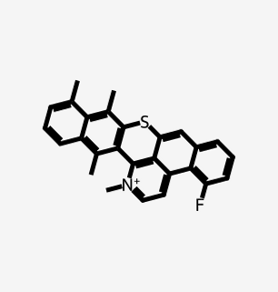 Cc1c2c(c(C)c3c(C)cccc13)Sc1cc3cccc(F)c3c3cc[n+](C)c-2c13